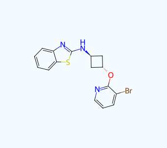 Brc1cccnc1O[C@H]1C[C@H](Nc2nc3ccccc3s2)C1